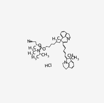 CC(C)N(C(C)C)P(OCCC#N)OCCCCCCC1(C)C(C=CC=CC=C2N3CCCc4cccc(c43)C2(C)C)=CN2CCc3cccc1c32.Cl